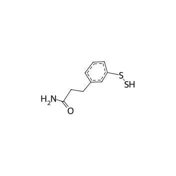 NC(=O)CCc1cccc(SS)c1